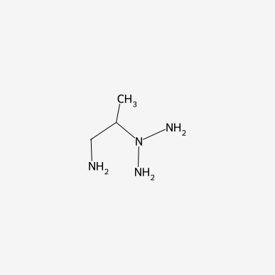 CC(CN)N(N)N